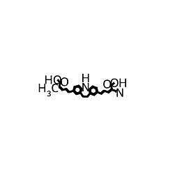 C/C(=C/C=C/c1ccc2c(c1)CCc1cc(/C=C/C=C(/C#N)C(=O)O)ccc1N2)C(=O)O